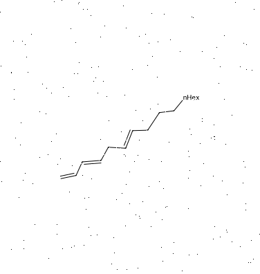 C=CC=CCC=CCCCCCCCCC